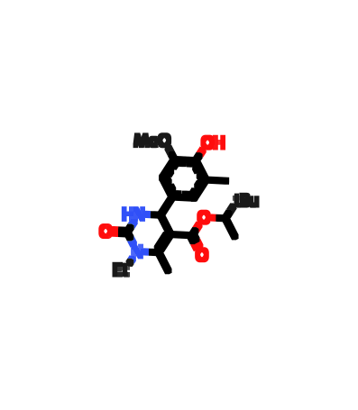 CCN1C(=O)NC(c2cc(C)c(O)c(OC)c2)C(C(=O)OC(C)C(C)(C)C)=C1C